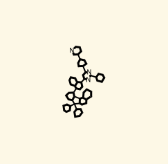 c1ccc(-c2nc(-c3ccc(-c4cccnc4)cc3)cc(-c3ccc(-c4cccc5c4-c4c(ccc6ccccc46)C5(c4ccccc4)c4ccccc4)c4ccccc34)n2)cc1